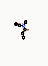 Brc1cc(-c2ccc3oc4ccccc4c3c2)cc(-c2nc(-c3ccccc3)nc(-c3ccc4c(c3)oc3ccccc34)n2)c1